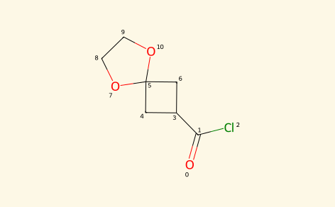 O=C(Cl)C1CC2(C1)OCCO2